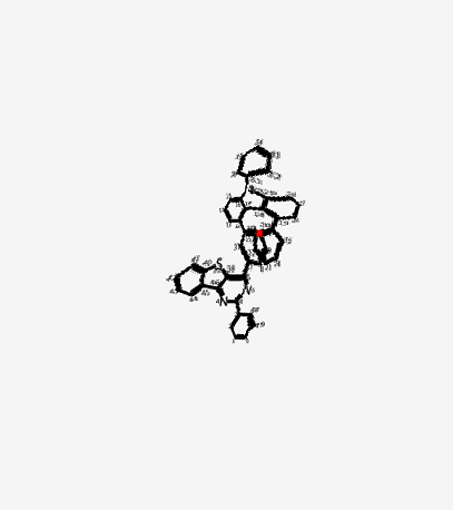 c1ccc(-c2nc(-c3cccc(-c4cccc5c4c4c(-c6ccccc6)cccc4n5-c4ccccc4)c3)c3sc4ccccc4c3n2)cc1